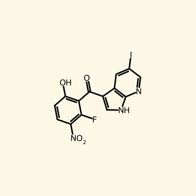 O=C(c1c(O)ccc([N+](=O)[O-])c1F)c1c[nH]c2ncc(I)cc12